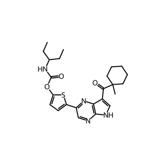 CCC(CC)NC(=O)Oc1ccc(-c2cnc3[nH]cc(C(=O)C4(C)CCCCC4)c3n2)s1